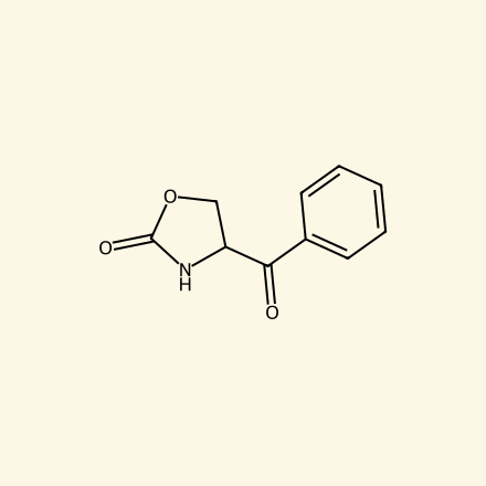 O=C1NC(C(=O)c2ccccc2)CO1